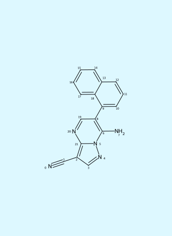 N#Cc1cnn2c(N)c(-c3cccc4ccccc34)cnc12